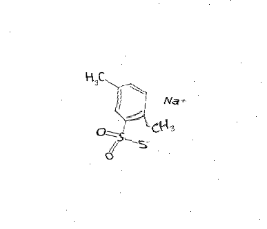 Cc1ccc(C)c(S(=O)(=O)[S-])c1.[Na+]